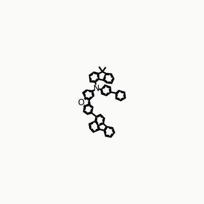 CC1(C)c2ccccc2-c2c(N(c3ccc(-c4ccccc4)cc3)c3ccc4oc5ccc(-c6ccc7c8c(cccc68)-c6ccccc6-7)cc5c4c3)cccc21